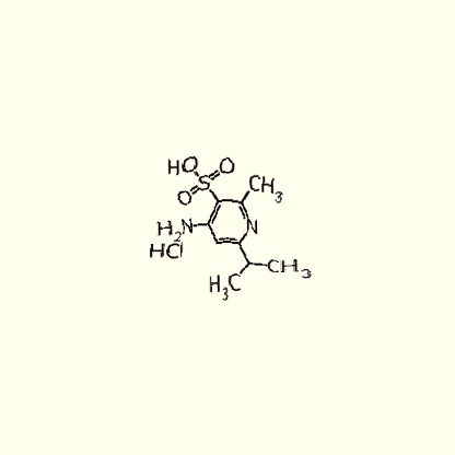 Cc1nc(C(C)C)cc(N)c1S(=O)(=O)O.Cl